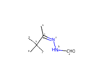 CC(=NNC=O)C(C)(C)C